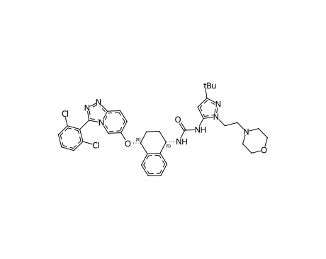 CC(C)(C)c1cc(NC(=O)N[C@H]2CC[C@@H](Oc3ccc4nnc(-c5c(Cl)cccc5Cl)n4c3)c3ccccc32)n(CCN2CCOCC2)n1